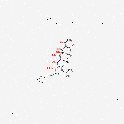 CC(=O)C1=C(O)C[C@@H]2C[C@@H]3Cc4c(C(C)C)cc(CCC5CCCC5)c(O)c4C(=O)C3=C(O)[C@]2(O)C1=O